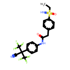 CCS(=N)(=O)c1ccc(CC(=O)Nc2ccc(C(C#N)(C(F)(F)F)C(F)(F)F)cc2)cc1